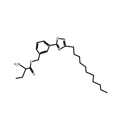 CCCCCCCCCCCc1noc(-c2cccc(COC(=O)C(N)CC)c2)n1